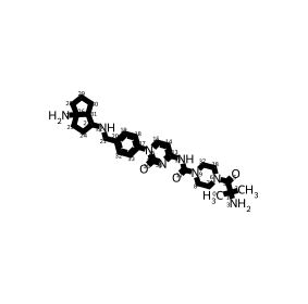 CC(C)(N)C(=O)N1CCN(C(=O)Nc2ccn(-c3ccc(CNC4CCC5(N)CCCC45)cc3)c(=O)n2)CC1